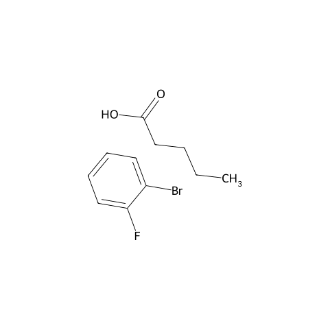 CCCCC(=O)O.Fc1ccccc1Br